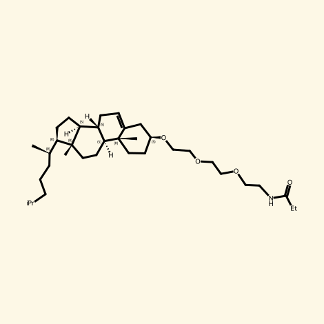 CCC(=O)NCCOCCOCCO[C@H]1CC[C@@]2(C)C(=CC[C@H]3[C@@H]4CC[C@H]([C@H](C)CCCC(C)C)[C@@]4(C)CC[C@@H]32)C1